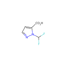 O=C(O)c1ccnn1C(F)F